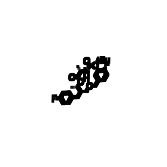 C[C@H](NC(=O)OC(C)(C)C)C(=O)O[C@@H](C)[C@@H](COCc1ccc(F)cc1)Cc1ccc(F)cc1